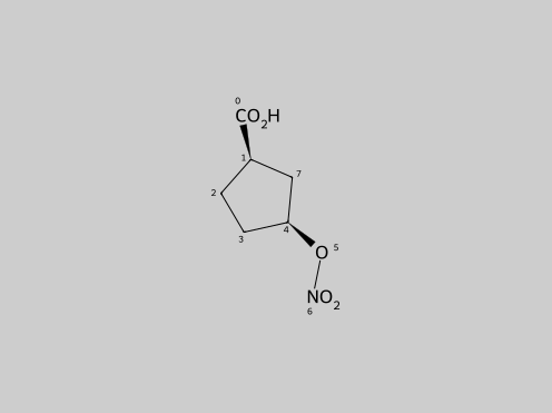 O=C(O)[C@@H]1CC[C@H](O[N+](=O)[O-])C1